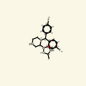 CC1NCN(C2CNCCN2C(c2ccc(F)cc2)c2ccc(F)cc2)O1